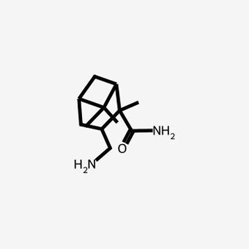 CC1(C)C2CC(CN)C(C)(C(N)=O)C1C2